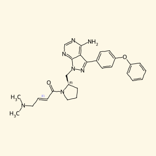 CN(C)C/C=C/C(=O)N1CCC[C@@H]1Cn1nc(-c2ccc(Oc3ccccc3)cc2)c2c(N)ncnc21